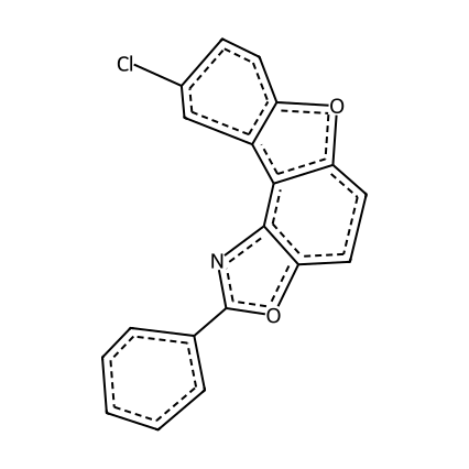 Clc1ccc2oc3ccc4oc(-c5ccccc5)nc4c3c2c1